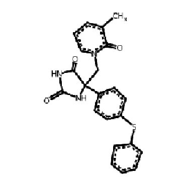 Cc1cccn(CC2(c3ccc(Sc4ccccc4)cc3)NC(=O)NC2=O)c1=O